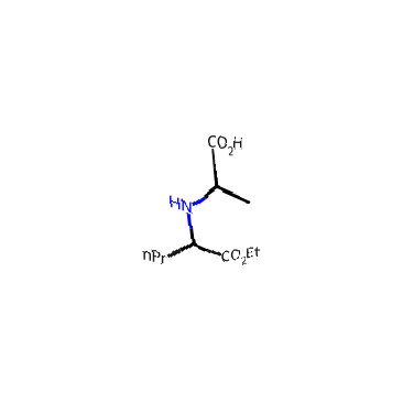 CCCC(NC(C)C(=O)O)C(=O)OCC